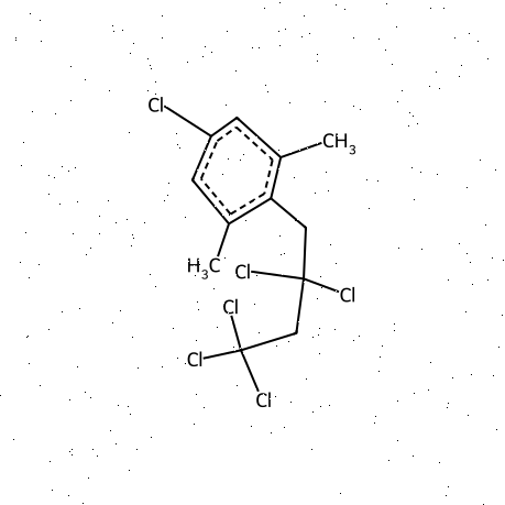 Cc1cc(Cl)cc(C)c1CC(Cl)(Cl)CC(Cl)(Cl)Cl